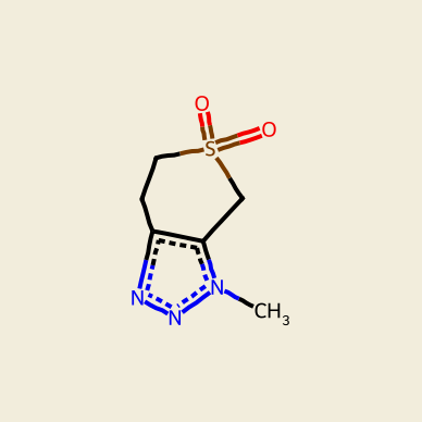 Cn1nnc2c1CS(=O)(=O)CC2